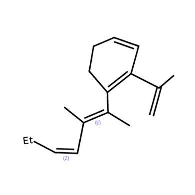 C=C(C)C1=C(/C(C)=C(C)/C=C\CC)CCC=C1